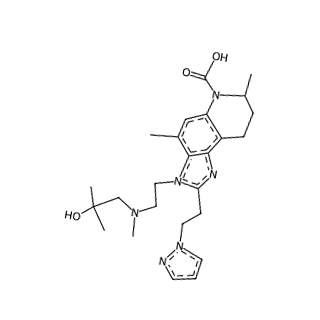 Cc1cc2c(c3nc(CCn4cccn4)n(CCN(C)CC(C)(C)O)c13)CCC(C)N2C(=O)O